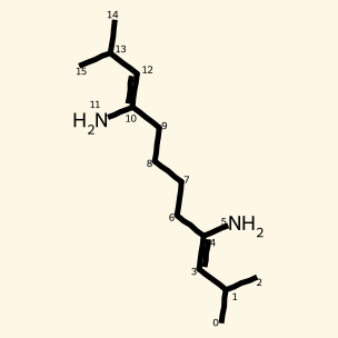 CC(C)C=C(N)CCCCC(N)=CC(C)C